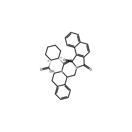 O=C(O)[C@@H]1CCCC[C@@H]1C(=O)N1CCc2ccccc2C1CN1C(=O)c2ccc3ccccc3c2C1=O